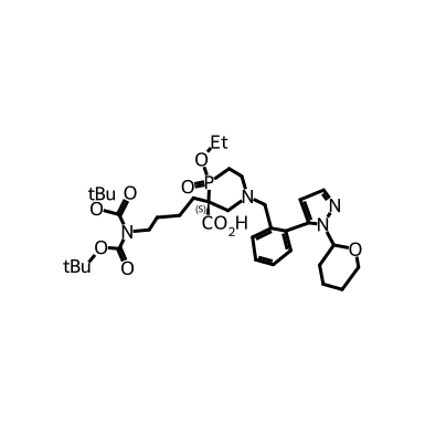 CCOP1(=O)CCN(Cc2ccccc2-c2ccnn2C2CCCCO2)C[C@@]1(CCCCN(C(=O)OC(C)(C)C)C(=O)OC(C)(C)C)C(=O)O